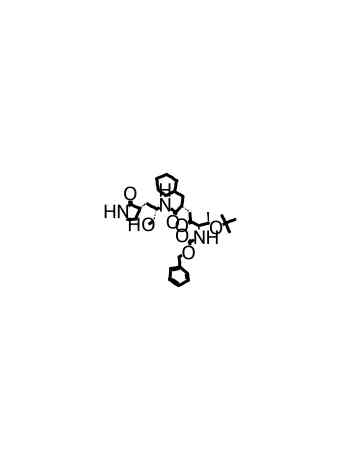 C[C@@H](OC(C)(C)C)[C@H](NC(=O)OCc1ccccc1)C(=O)C[C@@H](CC1CCCCC1)C(=O)N[C@H](CO)C[C@@H]1CCNC1=O